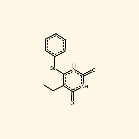 CCc1c([Se]c2ccccc2)[nH]c(=O)[nH]c1=O